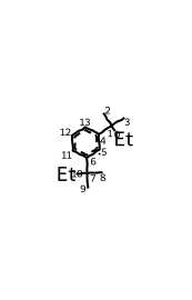 CCC(C)(C)c1[c]c(C(C)(C)CC)ccc1